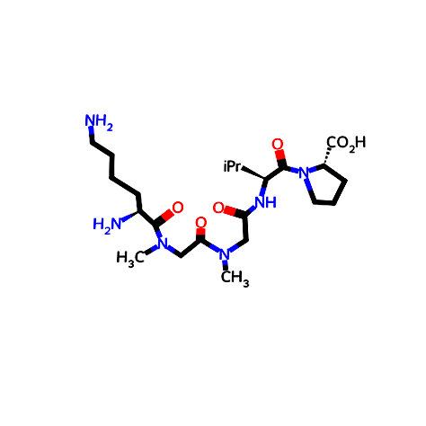 CC(C)[C@H](NC(=O)CN(C)C(=O)CN(C)C(=O)[C@@H](N)CCCCN)C(=O)N1CCC[C@H]1C(=O)O